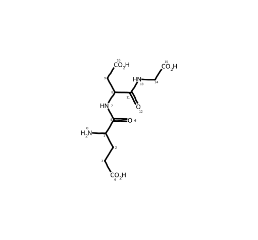 NC(CCC(=O)O)C(=O)NC(CC(=O)O)C(=O)NCC(=O)O